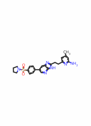 Cc1cc(N)nc(CCc2nc3cc(-c4ccc(S(=O)(=O)N5CCCC5)cc4)cnc3[nH]2)c1